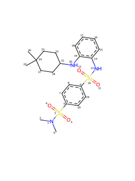 CN(C)S(=O)(=O)c1ccc(S(=O)(=O)Nc2ccccc2NC2CCC(C)(C)CC2)cc1